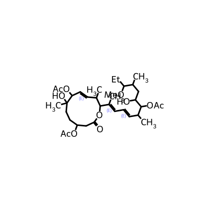 CCC(OC)C(C)CC(O)C(OC(C)=O)C(C)/C=C/C=C(\C)C1OC(=O)CC(OC(C)=O)CCC(C)(O)C(OC(C)=O)/C=C/C1C